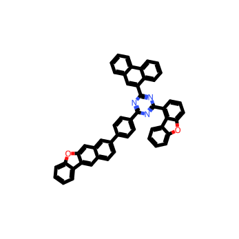 c1ccc2c(c1)cc(-c1nc(-c3ccc(-c4ccc5cc6c(cc5c4)oc4ccccc46)cc3)nc(-c3cccc4oc5ccccc5c34)n1)c1ccccc12